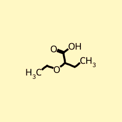 CCOC(CC)C(=O)O